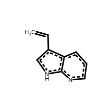 C=Cc1c[nH]c2ncccc12